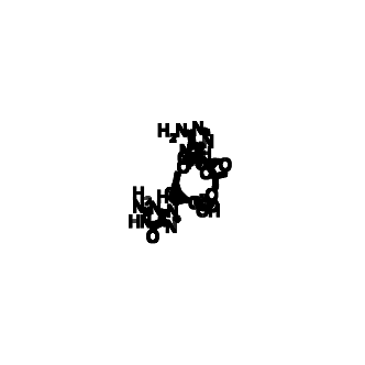 Nc1nc2c(ncn2C2OC3COP(=O)(O)OC4C5OCC4(COP(=O)(O)OC2C3O)OC5n2cnc3c(N)ncnc32)c(=O)[nH]1